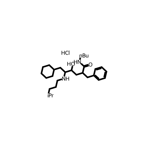 CCCCNC(=O)C(Cc1ccccc1)CC(O)C(CC1CCCCC1)NCCCC(C)C.Cl